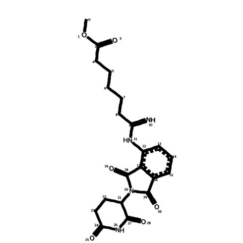 COC(=O)CCCCCC(=N)Nc1cccc2c1C(=O)N(C1CCC(=O)NC1=O)C2=O